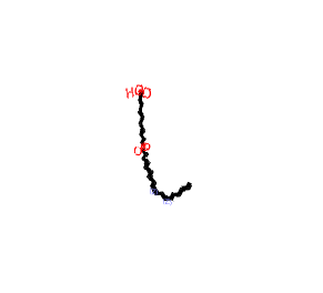 CCCCC/C=C\C/C=C\CCCCCCCC(=O)OCCCCCCCCCC(=O)O